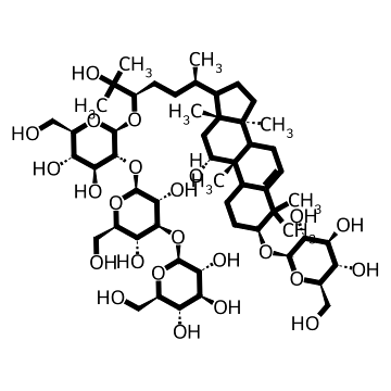 C[C@H](CC[C@@H](O[C@@H]1O[C@H](CO)[C@@H](O)[C@H](O)[C@H]1O[C@@H]1O[C@H](CO)[C@@H](O)[C@H](O[C@@H]2O[C@H](CO)[C@@H](O)[C@H](O)[C@H]2O)[C@H]1O)C(C)(C)O)C1CC[C@@]2(C)C3CC=C4C(CC[C@H](O[C@@H]5O[C@H](CO)[C@@H](O)[C@H](O)[C@H]5O)C4(C)C)[C@]3(C)[C@H](O)C[C@]12C